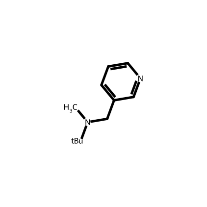 CN(Cc1cccnc1)C(C)(C)C